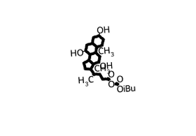 CC(C)COC(=O)OC(=O)CCC(C)C1CCC2C3C(C[C@H](O)[C@]12C)C1(C)CC[C@@H](O)CC1C[C@H]3O